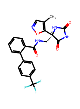 Cc1cnoc1[C@@]1(CNC(=O)c2ccccc2-c2ccc(C(F)(F)F)cc2)NC(=O)NC1=O